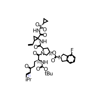 C=CC1C[C@]1(NC(=O)C1C[C@@H](OC(=O)N2Cc3cccc(F)c3C2)CN1C(=O)[C@H](CCC(=O)/C=C/C(C)C)NC(=O)OC(C)(C)C)C(=O)NS(=O)(=O)C1CC1